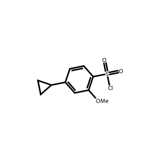 COc1cc(C2CC2)ccc1S(=O)(=O)Cl